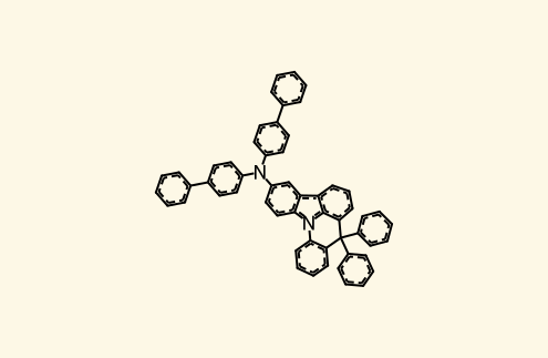 c1ccc(-c2ccc(N(c3ccc(-c4ccccc4)cc3)c3ccc4c(c3)c3cccc5c3n4-c3ccccc3C5(c3ccccc3)c3ccccc3)cc2)cc1